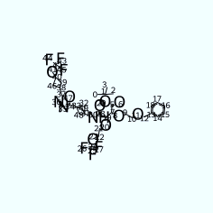 CC(C)(C)OC(=O)C(OCCOCc1ccccc1)C(OCCOC(F)(F)F)C(=O)NC12CC(c3nnc(C4CC(OC(F)(F)F)C4)o3)(C1)C2